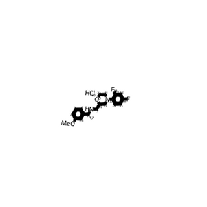 COc1cccc([C@@H](C)NCC2CN(c3ccc(F)cc3F)CCO2)c1.Cl